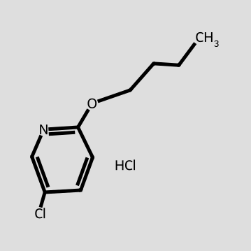 CCCCOc1ccc(Cl)cn1.Cl